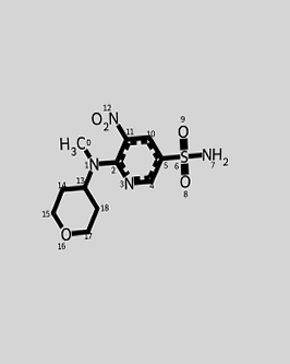 CN(c1ncc(S(N)(=O)=O)cc1[N+](=O)[O-])C1CCOCC1